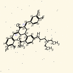 CCN(CC)CCNc1ccc(C(N)=O)c(C2C/C(=C\c3ccc(F)c(F)c3)C(=O)/C(=C/c3ccc(F)c(F)c3)C2)c1